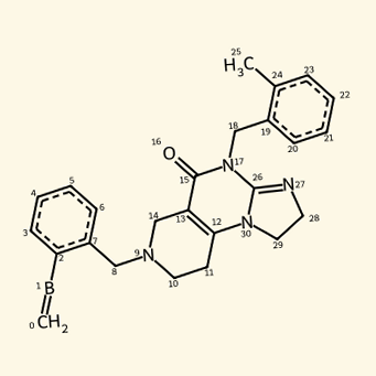 C=Bc1ccccc1CN1CCC2=C(C1)C(=O)N(Cc1ccccc1C)C1=NCCN12